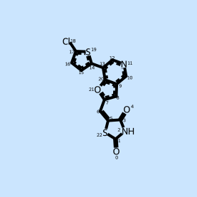 O=C1NC(=O)/C(=C\c2cc3cncc(-c4ccc(Cl)s4)c3o2)S1